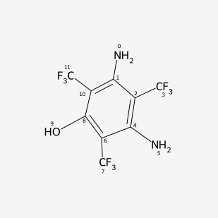 Nc1c(C(F)(F)F)c(N)c(C(F)(F)F)c(O)c1C(F)(F)F